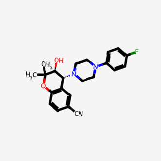 CC1(C)Oc2ccc(C#N)cc2[C@@H](N2CCN(c3ccc(F)cc3)CC2)[C@@H]1O